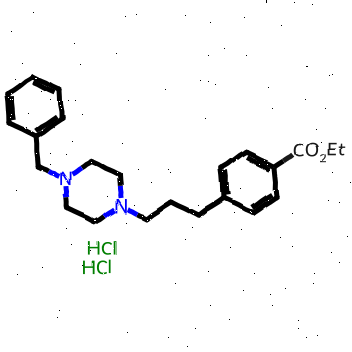 CCOC(=O)c1ccc(CCCN2CCN(Cc3ccccc3)CC2)cc1.Cl.Cl